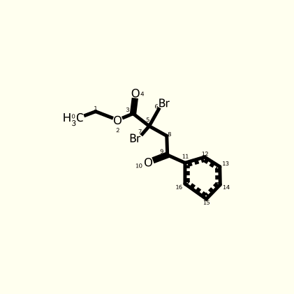 CCOC(=O)C(Br)(Br)CC(=O)c1ccccc1